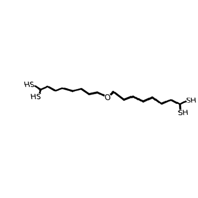 SC(S)CCCCCCCOCCCCCCCC(S)S